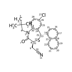 CC(C)(C)CN1C(=O)[C@H](CC#N)S[C@@H](c2cccc3ccccc23)c2cc(Cl)ccc21